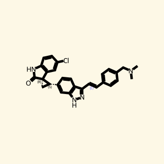 CN(C)Cc1ccc(/C=C/c2n[nH]c3cc([C@@H]4C[C@@]45C(=O)Nc4ccc(Cl)cc45)ccc23)cc1